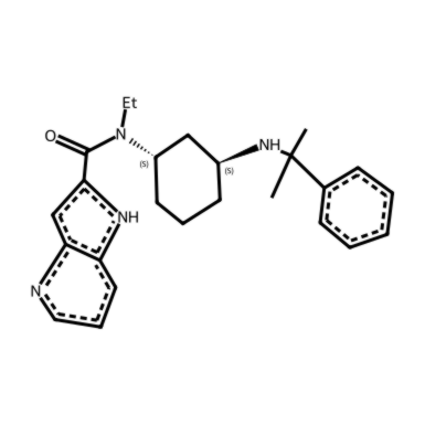 CCN(C(=O)c1cc2ncccc2[nH]1)[C@H]1CCC[C@H](NC(C)(C)c2ccccc2)C1